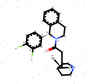 O=C(C[C@@H]1CN2CCC1CC2)N1CCc2ccccc2[C@H]1c1ccc(F)c(F)c1